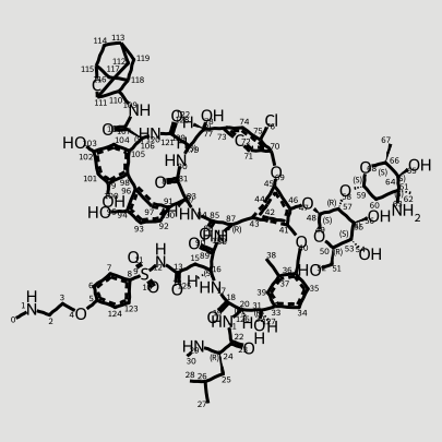 CNCCOc1ccc(S(=O)(=O)NC(=O)C[C@@H]2NC(=O)[C@H](NC(=O)[C@@H](CC(C)C)NC)[C@H](O)c3ccc(c(C)c3)Oc3cc4cc(c3O[C@@H]3O[C@H](CO)[C@@H](O)[C@H](O)[C@H]3O[C@H]3C[C@](C)(N)[C@H](O)[C@H](C)O3)Oc3ccc(cc3Cl)[C@@H](O)[C@@H]3NC(=O)[C@H](NC(=O)[C@@H]4NC2=O)c2ccc(O)c(c2)-c2c(O)cc(O)cc2[C@@H](C(=O)NC2C4CC5CC(C4)CC2C5)NC3=O)cc1